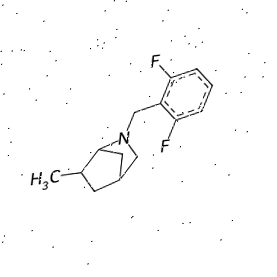 CC1CC2CC1N(Cc1c(F)cccc1F)C2